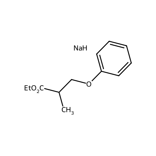 CCOC(=O)C(C)COc1ccccc1.[NaH]